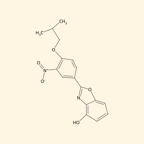 CC(C)COc1ccc(-c2nc3c(O)cccc3o2)cc1[N+](=O)[O-]